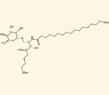 CCCCCCCCCCCCCCCCCCCCCCCCCC(=O)N[C@@H](CO[C@@H]1O[C@@H](C)[C@@H](O)[C@H](O)C1O)[C@H](O)[C@H](O)CCCCCCCCCCCCCC